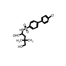 CC(C)(CO)CC(C=O)NS(=O)(=O)c1ccc(-c2ccc(Cl)cc2)cc1